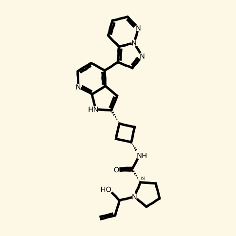 C=CC(O)N1CCC[C@H]1C(=O)N[C@H]1C[C@@H](c2cc3c(-c4cnn5ncccc45)ccnc3[nH]2)C1